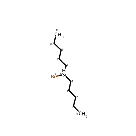 CCCCC[SiH](Br)CCCCC